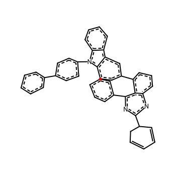 C1=CCC(c2nc(-c3ccccc3)c3c(-c4ccc5c(c4)c4ccccc4n5-c4ccc(-c5ccccc5)cc4)cccc3n2)C=C1